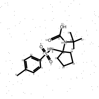 Cc1ccc(S(=O)(=O)NC2(N(C(=O)O)C(C)(C)C)CCCC2)cc1